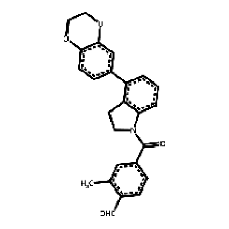 Cc1cc(C(=O)N2CCc3c(-c4ccc5c(c4)OCCO5)cccc32)ccc1C=O